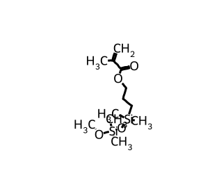 C=C(C)C(=O)OCCC[Si](C)(C)O[Si](C)(C)OC